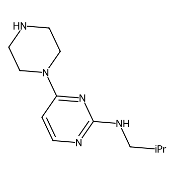 CC(C)CNc1nccc(N2CCNCC2)n1